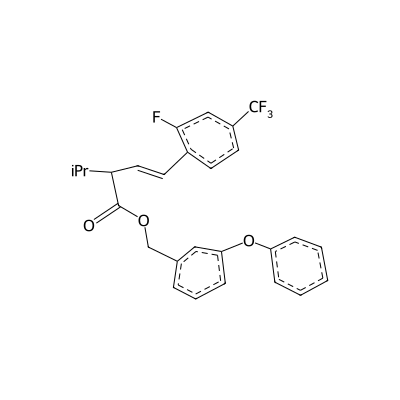 CC(C)C(C=Cc1ccc(C(F)(F)F)cc1F)C(=O)OCc1cccc(Oc2ccccc2)c1